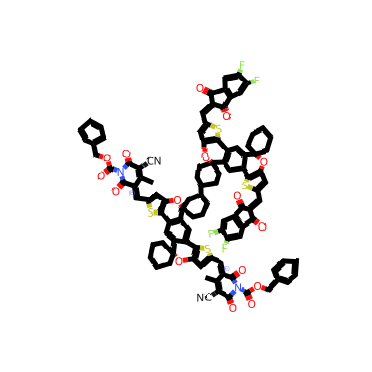 CC1=C(C#N)C(=O)N(C(=O)OCc2ccccc2)C(=O)/C1=C/c1cc2c(s1)-c1cc3c(cc1C1(CCCCC1)O2)-c1sc(/C=C2/C(=O)N(C(=O)OCc4ccccc4)C(=O)C(C#N)=C2C)cc1OC31CCCC(C2CCC3(CC2)Oc2cc(C=C4C(=O)c5cc(F)c(F)cc5C4=O)sc2-c2cc4c(cc23)-c2sc(C=C3C(=O)c5cc(F)c(F)cc5C3=O)cc2OC42CCCCC2)C1